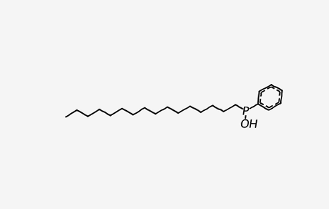 CCCCCCCCCCCCCCCCP(O)c1ccccc1